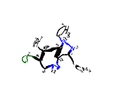 Cc1nn(C)c2c(C(C)C)c(Cl)cnc12